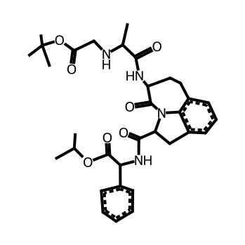 CC(C)OC(=O)C(NC(=O)C1Cc2cccc3c2N1C(=O)C(NC(=O)C(C)NCC(=O)OC(C)(C)C)CC3)c1ccccc1